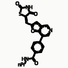 CCCNC(=O)c1ccc(-c2cncc3cc(C=C4SC(=O)NC4=O)oc23)cc1